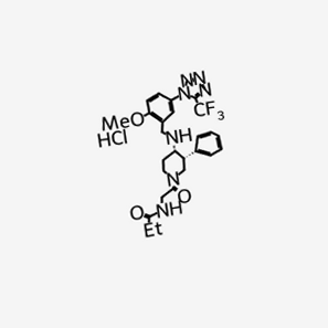 CCC(=O)NCC(=O)N1CC[C@H](NCc2cc(-n3nnnc3C(F)(F)F)ccc2OC)[C@H](c2ccccc2)C1.Cl